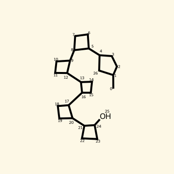 CC1CCC(C2CCC2C2CCC2C2CCC2C2CCC2C2CCC2O)C1